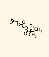 CCC(C)(C)C(=O)OCC(=O)OCC1CO1